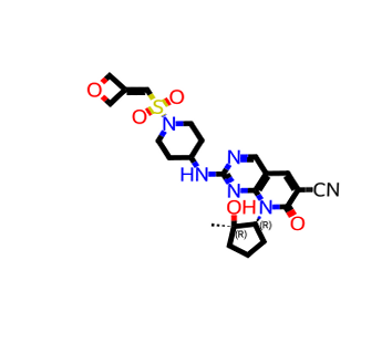 C[C@@]1(O)CCC[C@H]1n1c(=O)c(C#N)cc2cnc(NC3CCN(S(=O)(=O)C=C4COC4)CC3)nc21